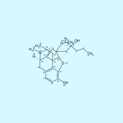 CCCC(C)(O)CC1(OC)CC(C)=C2[C@H]3Cc4ccc(O)c5c4C2(CCN3C)C1O5